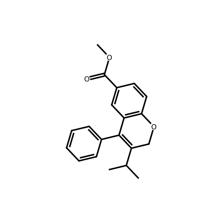 COC(=O)c1ccc2c(c1)C(c1ccccc1)=C(C(C)C)CO2